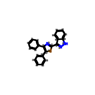 c1ccc(-c2nc(-c3n[nH]c4ccccc34)sc2-c2ccccc2)cc1